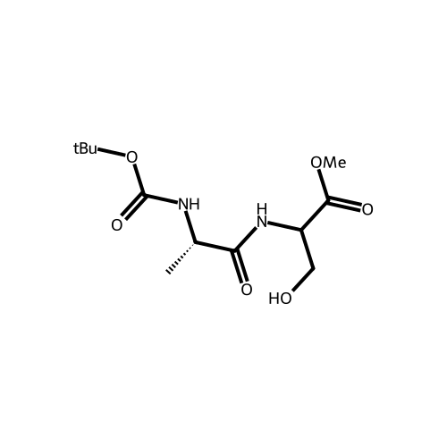 COC(=O)C(CO)NC(=O)[C@H](C)NC(=O)OC(C)(C)C